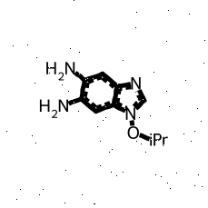 CC(C)On1cnc2cc(N)c(N)cc21